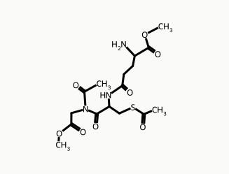 COC(=O)CN(C(C)=O)C(=O)C(CSC(C)=O)NC(=O)CCC(N)C(=O)OC